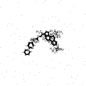 CC[C@H]1C(O[Si](C)(C)C)[C@@H]2[C@H](CCC3(C)C([C@H](C)COC(=O)NS(=O)(=O)c4ccc(N5CCCCC5)nc4)CC[C@@H]23)C2(C)CCC(O[Si](C)(C)C(C)(C)C)CC12